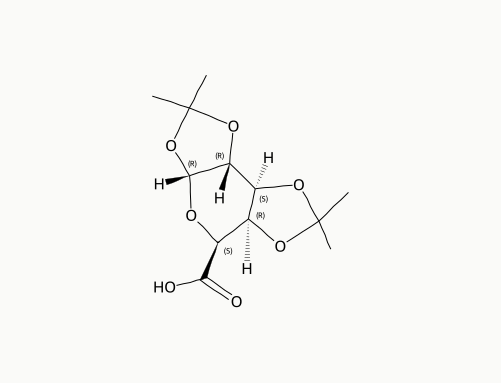 CC1(C)O[C@H]2[C@@H](O1)[C@@H](C(=O)O)O[C@@H]1OC(C)(C)O[C@@H]12